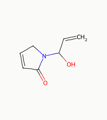 C=CC(O)N1CC=CC1=O